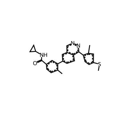 CSc1ccc(-c2nncc3cc(-c4cc(C(=O)NC5CC5)ccc4C)ccc23)c(C)c1